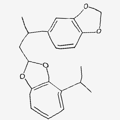 CC(C)c1cccc2c1OC(CC(C)c1ccc3c(c1)OCO3)O2